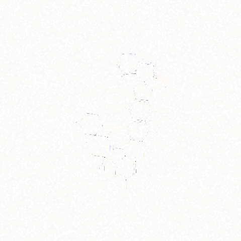 CC1(c2cc(F)cc(F)c2)CNC2(CCCCC2)C(=O)N1Cc1cnc2cc3c(cc2c1)C[C@@]1(C3)C(=O)Nc2ncccc21